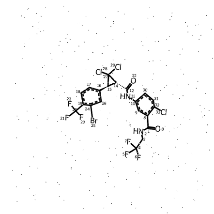 O=C(NCC(F)(F)F)c1cc(NC(=O)[C@@H]2[C@@H](c3ccc(C(F)(F)F)c(Br)c3)C2(Cl)Cl)ccc1Cl